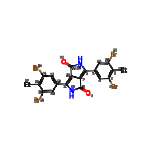 CCc1c(Br)cc(C2=C3C(=O)NC(c4cc(Br)c(CC)c(Br)c4)=C3C(=O)N2)cc1Br